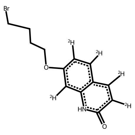 [2H]c1c(OCCCCBr)c([2H])c2[nH]c(=O)c([2H])c([2H])c2c1[2H]